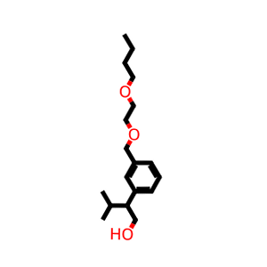 CCCCOCCOCc1cccc(C(CO)C(C)C)c1